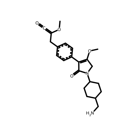 COC(=C=O)Cc1ccc(C2=C(OC)CN(C3CCC(CN)CC3)C2=O)cc1